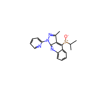 Cc1nn(-c2ccccn2)c2nc3ccccc3c([S+]([O-])C(C)C)c12